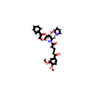 COc1ccc(C(=O)CCCC(=O)N[C@H](CN2CCCC2)[C@@H](O)C2=COC=C(C3=CC=CCC3)O2)cc1OC